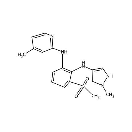 Cc1ccnc(Nc2cccc(S(C)(=O)=O)c2NC2=CNN(C)C2)c1